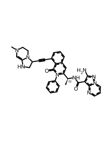 C[C@H](NC(=O)c1c(N)nn2cccnc12)c1cc2cccc(C#CC3CNC4=CN(C)CCN43)c2c(=O)n1-c1ccccc1